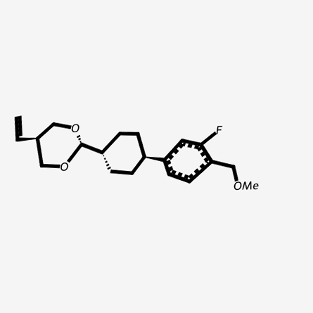 C=C[C@H]1CO[C@H]([C@H]2CC[C@H](c3ccc(COC)c(F)c3)CC2)OC1